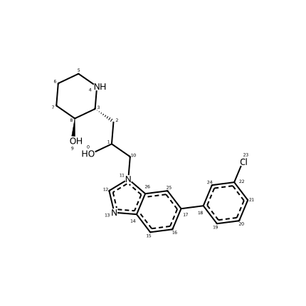 OC(C[C@H]1NCCC[C@@H]1O)Cn1cnc2ccc(-c3cccc(Cl)c3)cc21